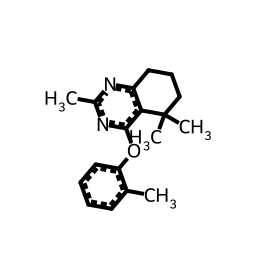 Cc1nc2c(c(Oc3ccccc3C)n1)C(C)(C)CCC2